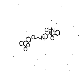 O=C(NC1CCN(CCCOc2ccc3c4c(c(=O)oc3c2)CCC4)CC1)c1ccccc1[N+](=O)[O-]